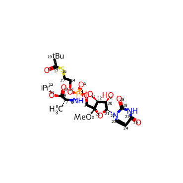 CO[C@]1(CO[P@@](=O)(N[C@H](C)C(=O)OC(C)C)OCCSC(=O)C(C)(C)C)O[C@@H](n2ccc(=O)[nH]c2=O)[C@H](O)[C@@H]1O